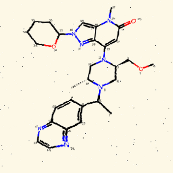 COC[C@H]1CN(C(C)c2ccc3nccnc3c2)[C@H](C)CN1c1cc(=O)n(C)c2cn(C3CCCCO3)nc12